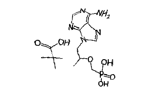 CC(C)(C)C(=O)O.CC(Cn1cnc2c(N)ncnc21)OCP(=O)(O)O